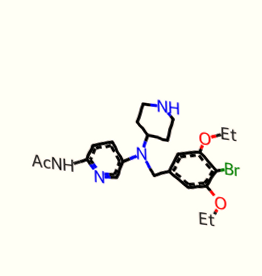 CCOc1cc(CN(c2ccc(NC(C)=O)nc2)C2CCNCC2)cc(OCC)c1Br